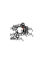 CC[C@H]1OC(=O)[C@H](C)[C@@H](OC2C[C@@](C)(OC)[C@@H](O)[C@H](C)O2)[C@H](C)[C@@H](O[C@@H]2O[C@H](C)C[C@H](N(C)S(=O)(=O)c3ccc4ccccc4c3)[C@H]2O)[C@@](C)(O)C[C@@H](C)CN(C)[C@H](C)[C@@H](O)[C@]1(C)O